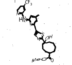 COC(=O)C1CCCCC(O)(c2ncc(-c3cc(C)cc(Nc4cc(C(F)(F)F)ccn4)n3)s2)CCC1